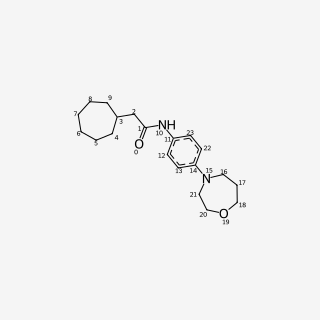 O=C(CC1CCCCCC1)Nc1ccc(N2CCCOCC2)cc1